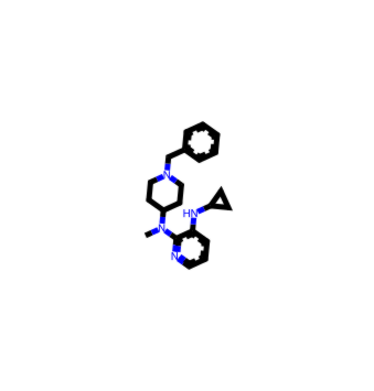 CN(c1ncccc1NC1CC1)C1CCN(Cc2ccccc2)CC1